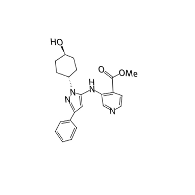 COC(=O)c1ccncc1Nc1cc(-c2ccccc2)nn1[C@H]1CC[C@H](O)CC1